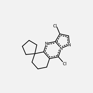 Clc1cnn2c(Cl)c3c(nc12)C1(CCCC1)CCC3